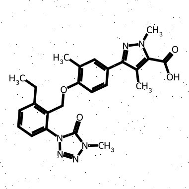 CCc1cccc(-n2nnn(C)c2=O)c1COc1ccc(-c2nn(C)c(C(=O)O)c2C)cc1C